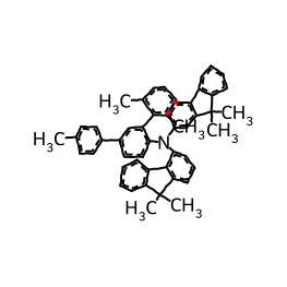 Cc1ccc(-c2ccc(N(c3ccc4c(c3)C(C)(C)c3ccccc3-4)c3cccc4c3-c3ccccc3C4(C)C)c(-c3c(C)cccc3C)c2)cc1